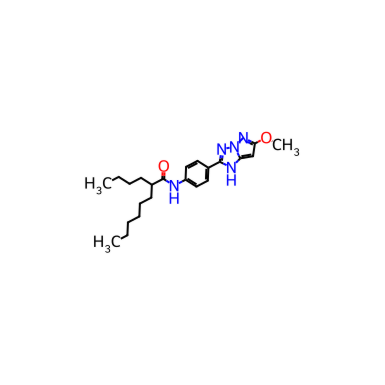 CCCCCCC(CCCC)C(=O)Nc1ccc(-c2nn3nc(OC)cc3[nH]2)cc1